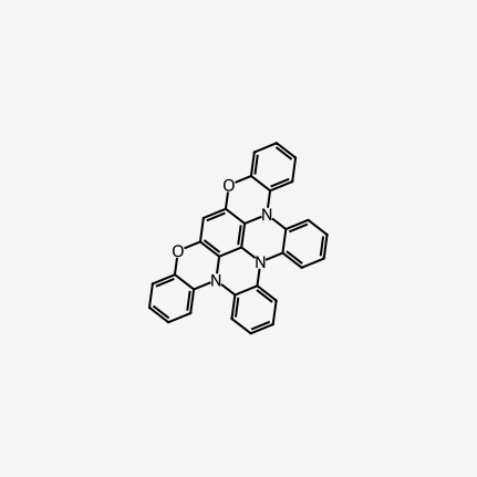 c1ccc2c(c1)oc1cc3oc4ccccc4n4c5ccccc5n5c6ccccc6n2c1c5c34